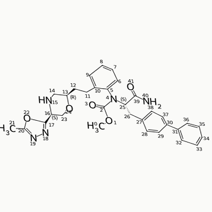 COC(=O)N(c1ccccc1CC[C@@H]1CN[C@H](c2nnc(C)o2)CO1)[C@@H](Cc1ccc(-c2ccccc2)cc1)C(N)=O